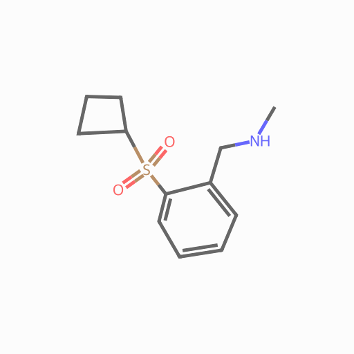 CNCc1ccccc1S(=O)(=O)C1CCC1